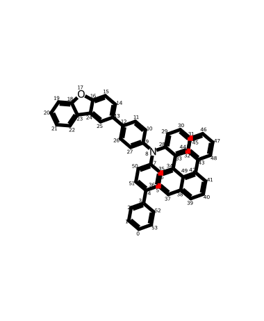 c1ccc(-c2ccc(N(c3ccc(-c4ccc5oc6ccccc6c5c4)cc3)c3ccccc3-c3cccc4cccc(-c5ccccc5)c34)cc2)cc1